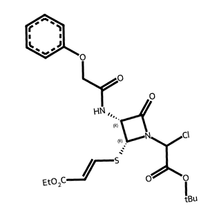 CCOC(=O)C=CS[C@@H]1[C@H](NC(=O)COc2ccccc2)C(=O)N1C(Cl)C(=O)OC(C)(C)C